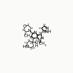 C[C@@H]1COCCN1c1cc(C2(O)CCNCC2)c2c(n1)c(-c1ccn[nH]1)nn2C